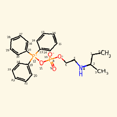 CCC(C)NCCOP(=O)([O-])O[P+](c1ccccc1)(c1ccccc1)c1ccccc1